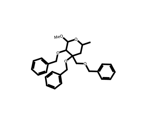 COC1OC(C)CC(COCc2ccccc2)(OCc2ccccc2)C1OCc1ccccc1